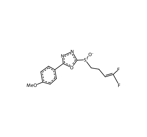 COc1ccc(-c2nnc([S+]([O-])CCC=C(F)F)o2)cc1